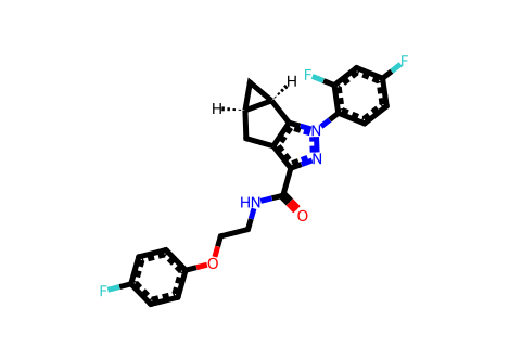 O=C(NCCOc1ccc(F)cc1)c1nn(-c2ccc(F)cc2F)c2c1C[C@H]1C[C@@H]21